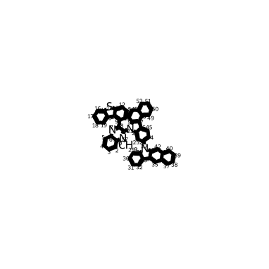 CC12C=CC=CC1N=C(c1cccc3sc4ccccc4c13)C(n1c3cc(-n4c5ccccc5c5cc6ccccc6cc54)ccc3c3c4ccccc4ccc31)=N2